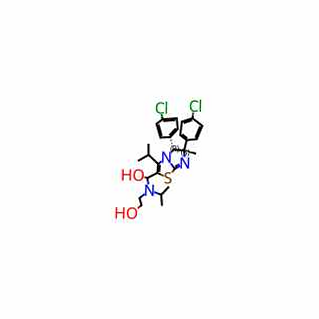 CC(C)C1=C(C(O)N(CCO)C(C)C)SC2=N[C@@](C)(c3ccc(Cl)cc3)[C@@H](c3ccc(Cl)cc3)N21